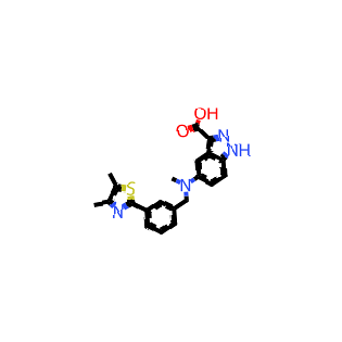 Cc1nc(-c2cccc(CN(C)c3ccc4[nH]nc(C(=O)O)c4c3)c2)sc1C